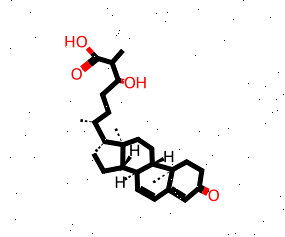 CC(C(=O)O)C(O)CC[C@@H](C)[C@H]1CC[C@H]2[C@@H]3C=CC4=CC(=O)CC[C@]4(C)[C@H]3CC[C@]12C